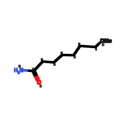 [CH2]OCCCCCCC(N)=O